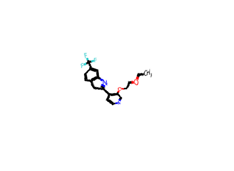 CCOCCOc1cnccc1C1=Nc2cc(C(F)(F)F)ccc2C1